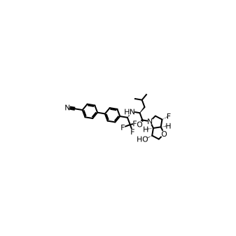 CC(C)C[C@H](N[C@@H](c1ccc(-c2ccc(C#N)cc2)cc1)C(F)(F)F)C(=O)N1C[C@H](F)[C@H]2OC[C@H](O)[C@H]21